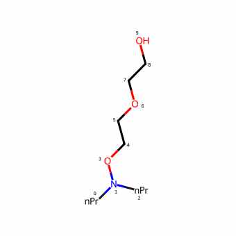 CCCN(CCC)OCCOCCO